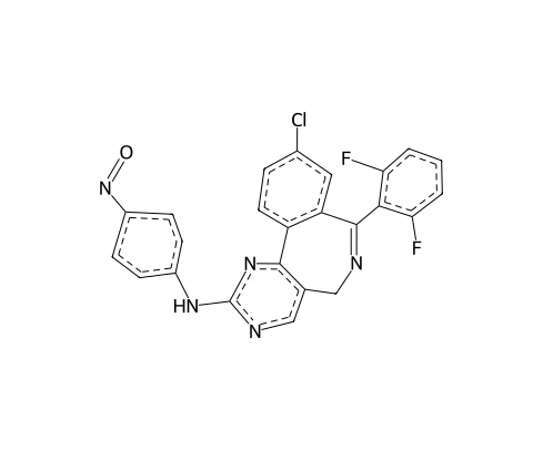 O=Nc1ccc(Nc2ncc3c(n2)-c2ccc(Cl)cc2C(c2c(F)cccc2F)=NC3)cc1